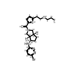 O=C(c1ccc(CCOCCF)s1)N1C[C@@H]2CC[C@@H](Nc3ccc(Br)nn3)[C@@H]2C1